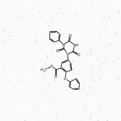 COC(=O)c1cc(-n2c(=O)[nH]c(=O)n(-c3ccccc3)c2=O)ccc1Oc1ccccc1